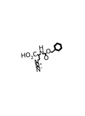 [N-]=[N+]=NCC(NC(=O)OCc1ccccc1)C(=O)O